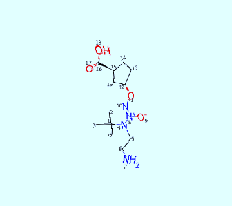 CC(C)(C)N(CCN)/[N+]([O-])=N/O[C@@H]1CC[C@H](C(=O)O)C1